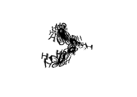 C[C@@H]1OC(O[C@@H]2[C@@H](O)[C@H](O[C@@H]3O[C@H](CO)[C@H](O)[C@H](O)[C@H]3O[C@@H]3O[C@H](CO)[C@@H](O)[C@H](O)[C@H]3O)[C@@H](C(=O)O)O[C@H]2C)[C@H](O)[C@H](O)[C@H]1O